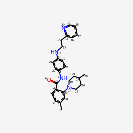 Cc1ccc(C(=O)Nc2ccc(NCCc3ccccn3)cc2)c(N2CCC(C)CC2)c1